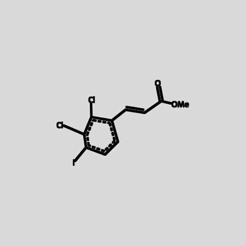 COC(=O)/C=C/c1ccc(I)c(Cl)c1Cl